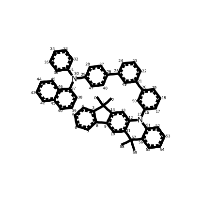 CC1(C)c2ccccc2-c2cc3c(cc21)N(c1cccc(-c2cccc(-c4ccc(N(c5ccccc5)c5cccc6ccccc56)cc4)c2)c1)c1ccccc1C3(C)C